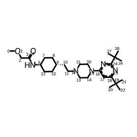 COCC(=O)N[C@H]1CC[C@H](CCN2CCN(c3cc(C(C)(C)C)nc(C(C)(C)C)n3)CC2)CC1